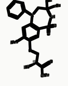 CCCCC1(CCCC)CN(c2ccccc2)c2cc(SC)c(OC[C@H](O)C(=O)OC)cc2S(=O)(=O)N1